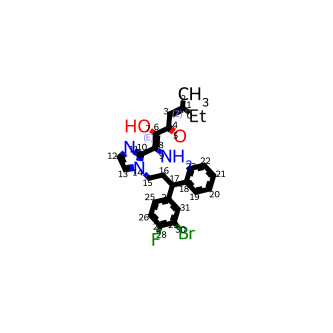 CC/C(C)=C\C(=O)/C(O)=C(\N)c1nccn1CCC(c1ccccc1)c1ccc(F)c(Br)c1